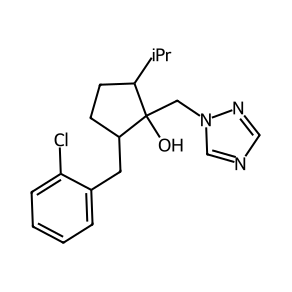 CC(C)C1CCC(Cc2ccccc2Cl)C1(O)Cn1cncn1